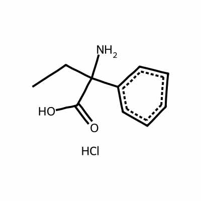 CCC(N)(C(=O)O)c1ccccc1.Cl